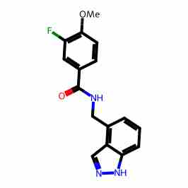 COc1ccc(C(=O)NCc2cccc3[nH]ncc23)cc1F